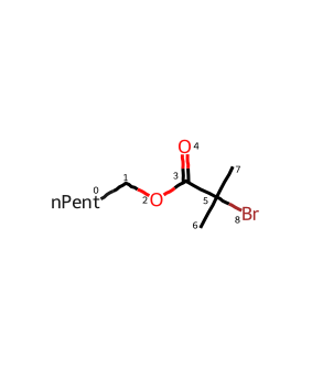 CCCCCCOC(=O)C(C)(C)Br